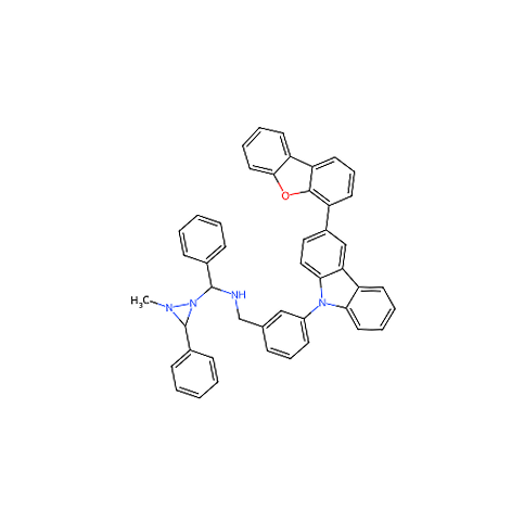 CN1C(c2ccccc2)N1C(NCc1cccc(-n2c3ccccc3c3cc(-c4cccc5c4oc4ccccc45)ccc32)c1)c1ccccc1